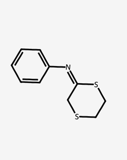 c1ccc(N=C2CSCCS2)cc1